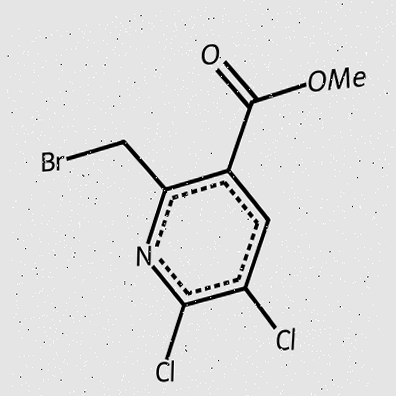 COC(=O)c1cc(Cl)c(Cl)nc1CBr